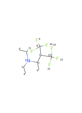 CCN(CC)C(C)C(C(F)(F)F)C(F)(F)F